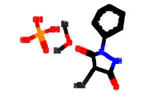 CCCCC1C(=O)NN(c2ccccc2)C1=O.CCOCC.O=P(O)(O)O